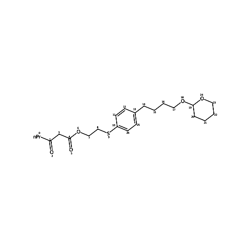 CCCC(=O)CC(=O)OCCSc1ccc(CCCCOC2CCCCO2)cc1